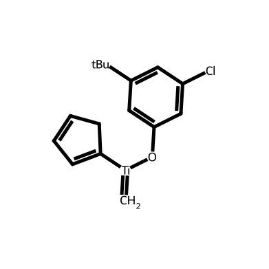 [CH2]=[Ti]([O]c1cc(Cl)cc(C(C)(C)C)c1)[C]1=CC=CC1